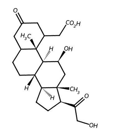 C[C@]12C(CC[C@@H]3[C@@H]1[C@@H](O)C[C@]1(C)[C@@H](C(=O)CO)CC[C@@H]31)CC(=O)CC2CC(=O)O